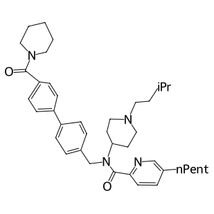 CCCCCc1ccc(C(=O)N(Cc2ccc(-c3ccc(C(=O)N4CCCCC4)cc3)cc2)C2CCN(CCC(C)C)CC2)nc1